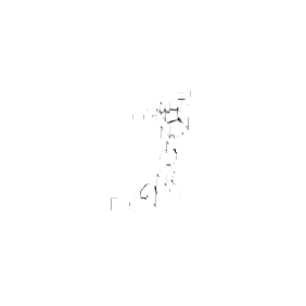 CCOc1nn(C2COC2)c2nc(N3CCC4(CC3)CC(=O)N(c3ccc(C(F)(F)F)nc3)C4)cnc12